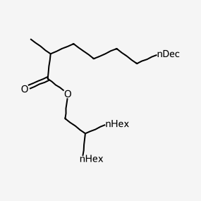 CCCCCCCCCCCCCCC(C)C(=O)OCC(CCCCCC)CCCCCC